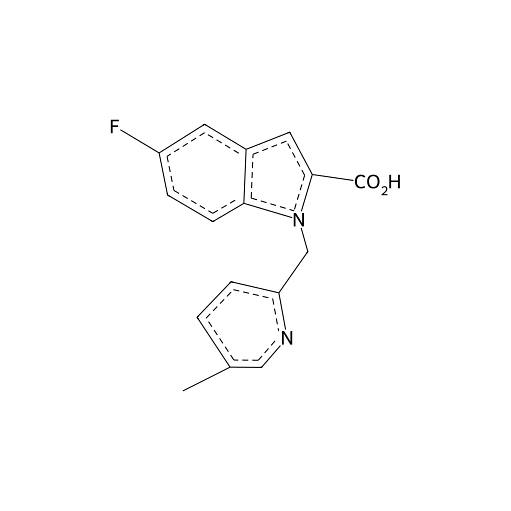 Cc1ccc(Cn2c(C(=O)O)cc3cc(F)ccc32)nc1